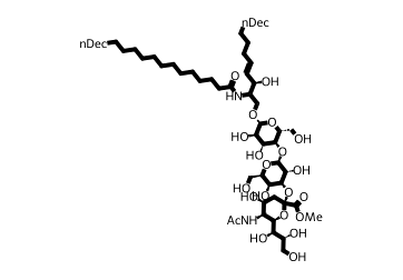 CCCCCCCCCCCCC/C=C/[C@@H](O)C(CO[C@@H]1O[C@H](CO)[C@@H](O[C@@H]2O[C@H](CO)[C@H](O)[C@H](O[C@]3(C(=O)OC)C[C@H](O)[C@H](NC(C)=O)[C@H]([C@H](O)[C@H](O)CO)O3)[C@H]2O)[C@H](O)[C@H]1O)NC(=O)CCCCCCCCCCCCCCCCCCCCCC